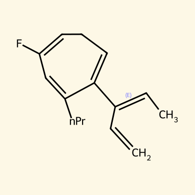 C=C/C(=C\C)C1=CCC=C(F)C=C1CCC